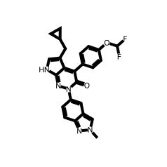 Cn1cc2cc(-n3nc4[nH]cc(CC5CC5)c4c(-c4ccc(OC(F)F)cc4)c3=O)ccc2n1